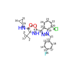 CC(C)(C)C(NC(=O)c1nn(Cc2ccc(F)cc2)c2c(Cl)cccc12)C(=O)NC1CC1